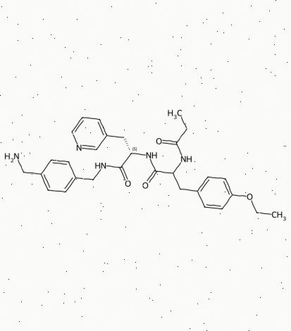 CCOc1ccc(CC(NC(=O)CC)C(=O)N[C@@H](Cc2cccnc2)C(=O)NCc2ccc(CN)cc2)cc1